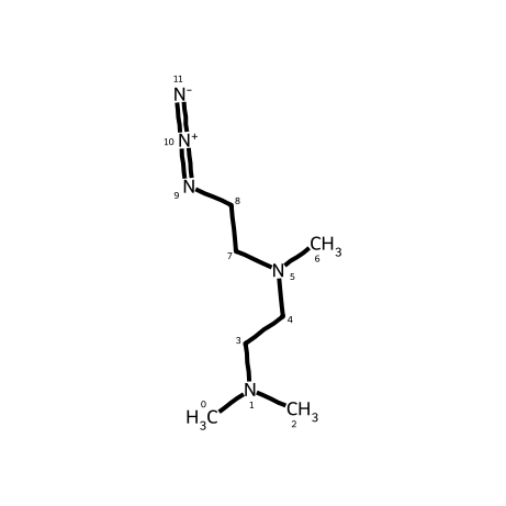 CN(C)CCN(C)CCN=[N+]=[N-]